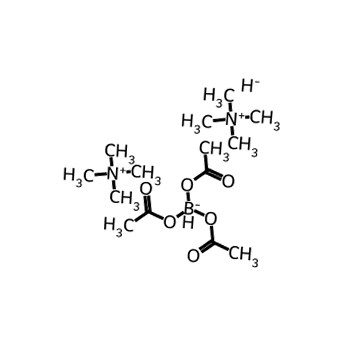 CC(=O)O[BH-](OC(C)=O)OC(C)=O.C[N+](C)(C)C.C[N+](C)(C)C.[H-]